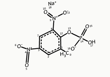 Cc1cc([N+](=O)[O-])cc([N+](=O)[O-])c1OP(=O)([O-])O.[Na+]